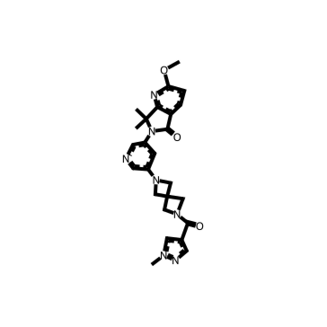 COc1ccc2c(n1)C(C)(C)N(c1cncc(N3CC4(CN(C(=O)c5cnn(C)c5)C4)C3)c1)C2=O